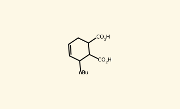 CCCCC1C=CCC(C(=O)O)C1C(=O)O